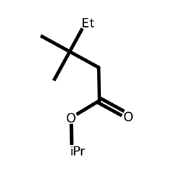 CCC(C)(C)CC(=O)OC(C)C